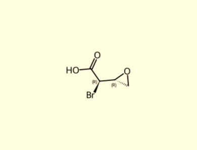 O=C(O)[C@H](Br)[C@H]1CO1